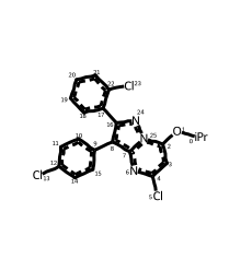 CC(C)Oc1cc(Cl)nc2c(-c3ccc(Cl)cc3)c(-c3ccccc3Cl)nn12